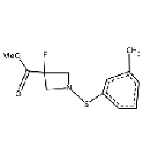 COC(=O)C1(F)CN(Sc2cccc(C)c2)C1